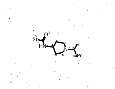 CCC(=O)NC1CCN(C(C)C(C)C)CC1